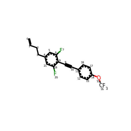 C=CCCc1cc(F)c(C#Cc2ccc(OC(F)(F)F)cc2)c(F)c1